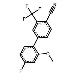 COc1cc(F)ccc1-c1ccc(C#N)c(C(F)(F)F)c1